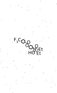 CCC1C(=O)N(c2ccc(OC(=O)c3ccc(C(F)(F)F)cc3)cc2)C(O)C1CC